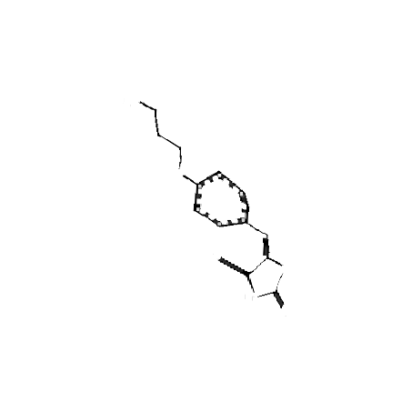 CCCCOc1ccc(C=C2SC(=O)NC2=S)cc1